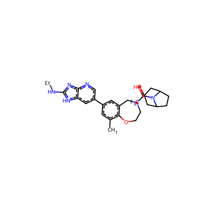 CCNc1nc2ncc(-c3cc(C)c4c(c3)CN(C(=O)N3C5CCC3CC(O)(C(F)(F)F)C5)CCO4)cc2[nH]1